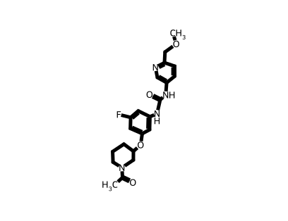 COCc1ccc(NC(=O)Nc2cc(F)cc(OC3CCCN(C(C)=O)C3)c2)cn1